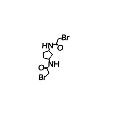 O=C(CBr)N[C@@H]1CC[C@H](NC(=O)CBr)C1